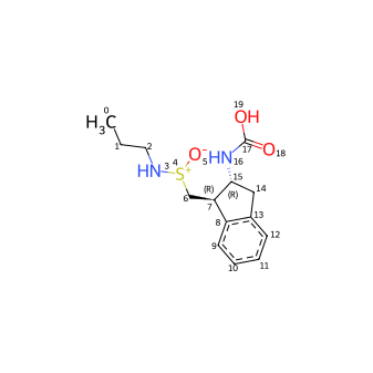 CCCN[S+]([O-])C[C@@H]1c2ccccc2C[C@H]1NC(=O)O